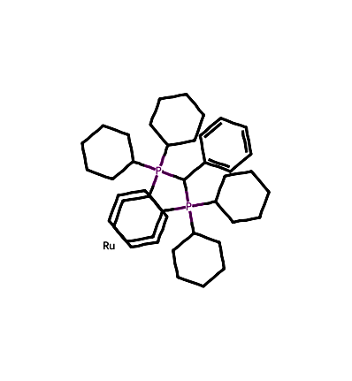 [Ru].c1ccc(C([P](C2CCCCC2)(C2CCCCC2)C2CCCCC2)[P](C2CCCCC2)(C2CCCCC2)C2CCCCC2)cc1